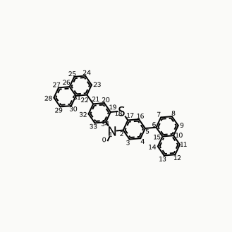 CN1c2ccc(-c3cccc4ccccc34)cc2Sc2cc(-c3cccc4ccccc34)ccc21